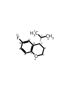 CC(C)[C@@H]1CCOc2ccc(F)cc21